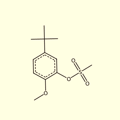 COc1ccc(C(C)(C)C)cc1OS(C)(=O)=O